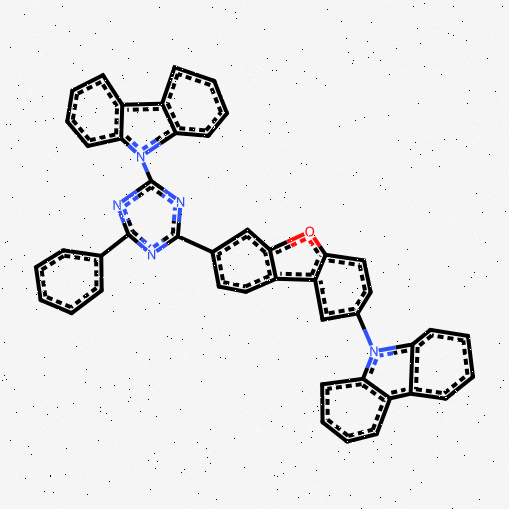 c1ccc(-c2nc(-c3ccc4c(c3)oc3ccc(-n5c6ccccc6c6ccccc65)cc34)nc(-n3c4ccccc4c4ccccc43)n2)cc1